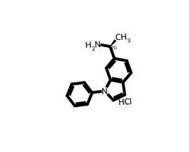 C[C@H](N)c1ccc2ccn(-c3ccccc3)c2c1.Cl